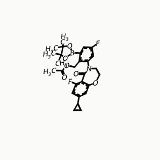 CC(=O)OCc1c(B2OC(C)(C)C(C)(C)O2)cc(F)cc1N1CCOc2cc(C3CC3)cc(F)c2C1=O